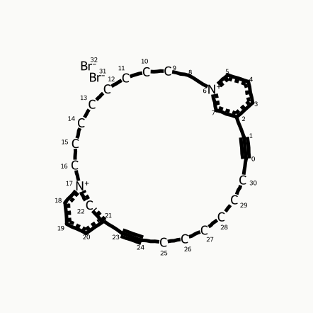 C1#Cc2ccc[n+](c2)CCCCCCCCC[n+]2cccc(c2)C#CCCCCCC1.[Br-].[Br-]